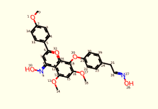 COc1ccc(-c2cc(=NO)c3c(OC)cc(OC)c(Oc4ccc(CC=NO)cc4)c3o2)cc1